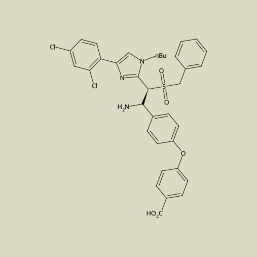 CCCCn1cc(-c2ccc(Cl)cc2Cl)nc1[C@H](C(N)c1ccc(Oc2ccc(C(=O)O)cc2)cc1)S(=O)(=O)Cc1ccccc1